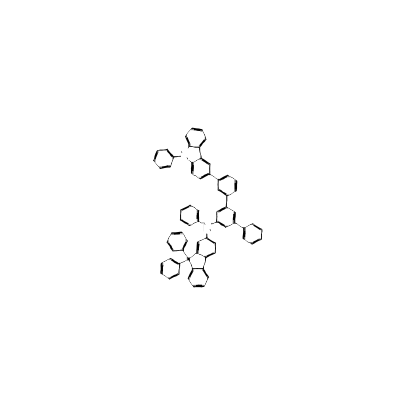 c1ccc(-c2cc(-c3cccc(-c4ccc5c(c4)c4ccccc4n5-c4ccccc4)c3)cc(N(c3ccccc3)c3ccc4c(c3)C(c3ccccc3)(c3ccccc3)c3ccccc3-4)c2)cc1